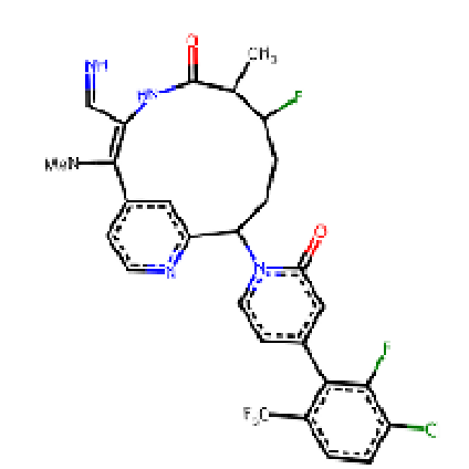 CN/C1=C(\C=N)NC(=O)C(C)C(F)CCC(n2ccc(-c3c(C(F)(F)F)ccc(Cl)c3F)cc2=O)c2cc1ccn2